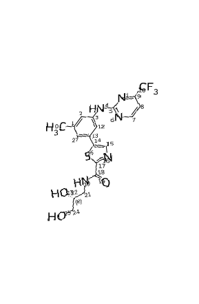 Cc1cc(Nc2nccc(C(F)(F)F)n2)cc(-c2cnc(C(=O)NC[C@@H](O)CO)s2)c1